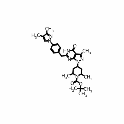 Cc1cn(-c2ccc(Cc3nc4c(c(C)nn4C4CC(C)N(C(=O)OC(C)(C)C)C(C)C4)c(=O)[nH]3)cc2)nc1C